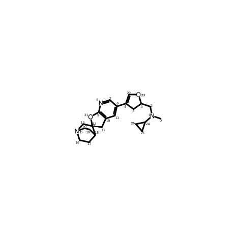 CN(CC1CC(c2cnc3c(c2)C[C@@]2(CN4CCC2CC4)O3)=CO1)C1CC1